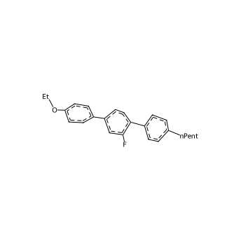 CCCCCc1ccc(-c2ccc(-c3ccc(OCC)cc3)cc2F)cc1